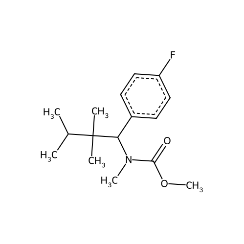 COC(=O)N(C)C(c1ccc(F)cc1)C(C)(C)C(C)C